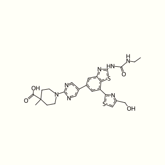 CCNC(=O)Nc1nc2cc(-c3cnc(N4CCC(C)(C(=O)O)CC4)nc3)cc(-c3nc(CO)cs3)c2s1